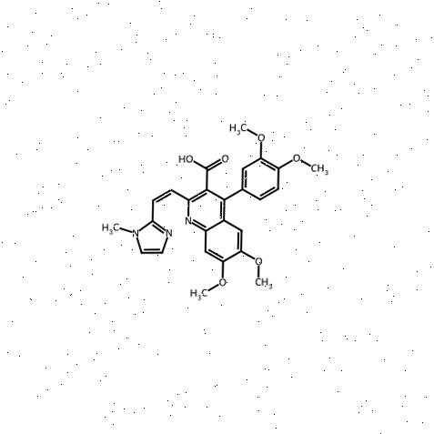 COc1ccc(-c2c(C(=O)O)c(/C=C\c3nccn3C)nc3cc(OC)c(OC)cc23)cc1OC